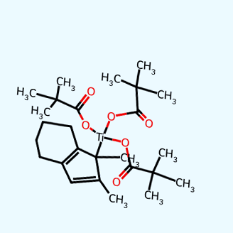 CC1=CC2=C(CCCC2)[C]1(C)[Ti]([O]C(=O)C(C)(C)C)([O]C(=O)C(C)(C)C)[O]C(=O)C(C)(C)C